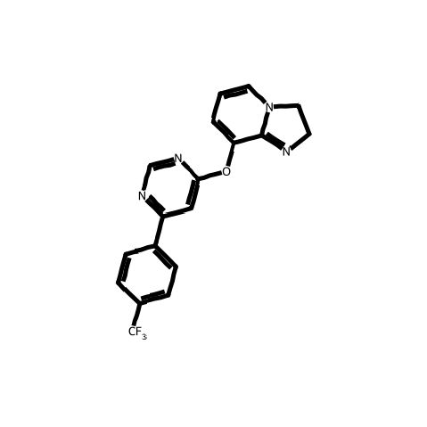 FC(F)(F)c1ccc(-c2cc(OC3=CC=CN4CCN=C34)ncn2)cc1